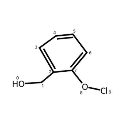 OCc1ccccc1OCl